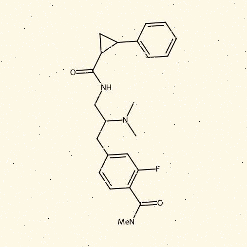 CNC(=O)c1ccc(CC(CNC(=O)C2CC2c2ccccc2)N(C)C)cc1F